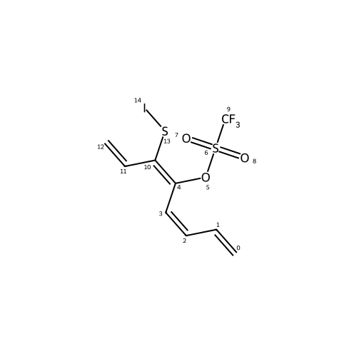 C=C/C=C\C(OS(=O)(=O)C(F)(F)F)=C(/C=C)SI